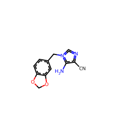 N#Cc1ncn(Cc2ccc3c(c2)OCO3)c1N